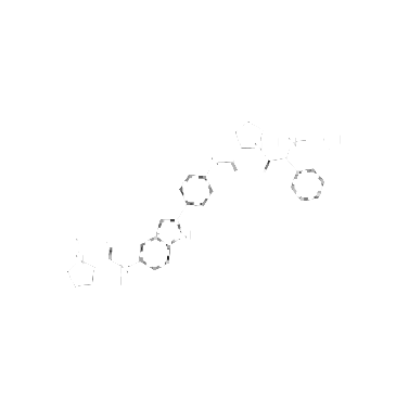 CC(=O)N1CCC[C@H]1C(=O)Nc1ccc2[nH]c(-c3ccc(NC(=O)[C@@H]4CCCN4C(=O)C(NC(=O)O)c4ccccc4)cc3)cc2c1